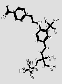 CC(=O)c1ccc(CCOc2ccc(CCC(N)(CO)COP(=O)(O)O)cc2C(F)(F)F)cc1